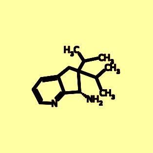 CC(C)C1(C(C)C)Cc2cccnc2[C@H]1N